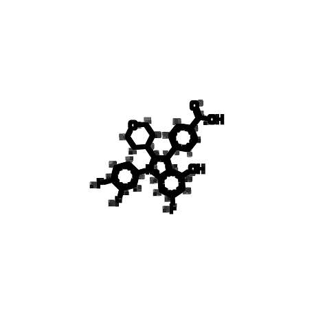 O=C(O)c1ccc(-c2c(C3CCOCC3)n(-c3ccc(F)c(F)c3)c3cc(F)cc(O)c23)cc1